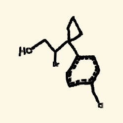 OCC(Br)C1(c2ccc(Cl)cc2)CCC1